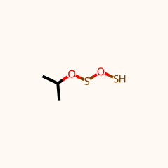 CC(C)OSOS